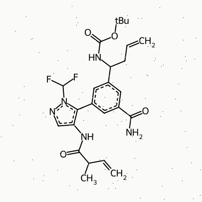 C=CCC(NC(=O)OC(C)(C)C)c1cc(C(N)=O)cc(-c2c(NC(=O)C(C)C=C)cnn2C(F)F)c1